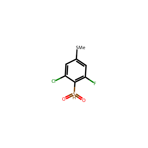 CSc1cc(F)c([SH](=O)=O)c(Cl)c1